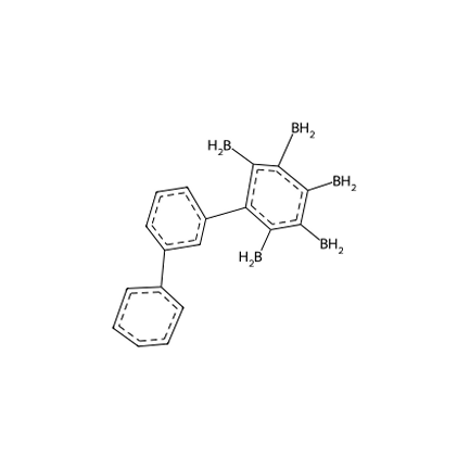 Bc1c(B)c(B)c(-c2cccc(-c3ccccc3)c2)c(B)c1B